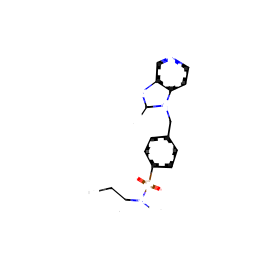 CCCN([C@@H](CC(C)C)C(=O)OCC)S(=O)(=O)c1ccc(CN2c3ccncc3NC2C)cc1